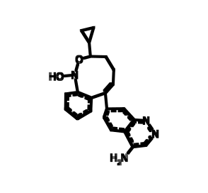 Nc1cnnc2cc(C3=CCCC(C4CC4)ON(O)c4ccccc43)ccc12